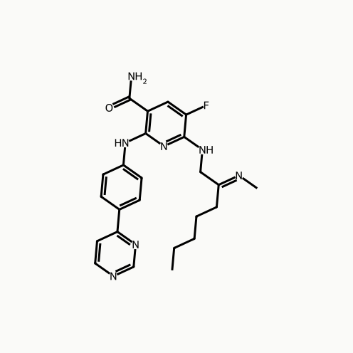 CCCCC/C(CNc1nc(Nc2ccc(-c3ccncn3)cc2)c(C(N)=O)cc1F)=N\C